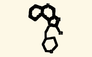 CCc1nc2cnc3ccccc3c2n1CC1CCOCC1